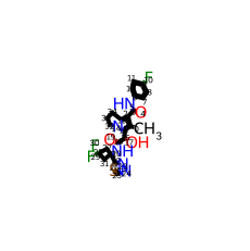 Cc1c(C(=O)Nc2ccc(F)cc2)c2n(c1C(O)C(=O)NC1(c3nncs3)CC(F)(F)C1)CCC2